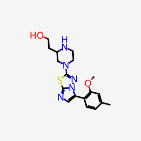 COc1cc(C)ccc1-c1cnc2sc(N3CCNC(CCO)C3)nn12